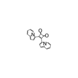 O=c1c(-c2ccc3ccccn23)c(-c2ccc3ccccn23)c1=O